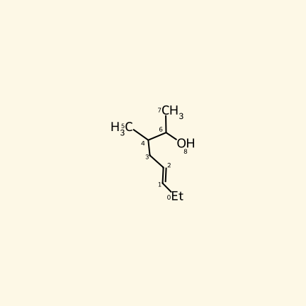 CC/C=C/CC(C)C(C)O